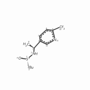 C[C@H](N[S@@+]([O-])C(C)(C)C)c1ccc(C(F)(F)F)nc1